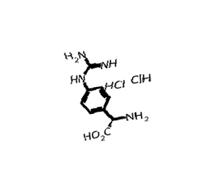 Cl.Cl.N=C(N)Nc1ccc([C@@H](N)C(=O)O)cc1